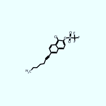 CCCCCC#Cc1ccc2c(Cl)c(OS(=O)(=O)C(F)(F)F)ccc2c1